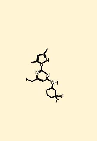 Cc1cc(C)n(-c2nc(CF)cc(NC3CCCC(F)(F)C3)n2)n1